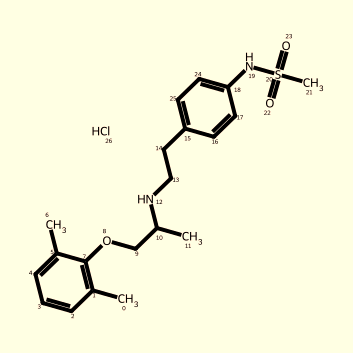 Cc1cccc(C)c1OCC(C)NCCc1ccc(NS(C)(=O)=O)cc1.Cl